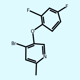 Cc1cc(Br)c(Oc2ccc(F)cc2F)cn1